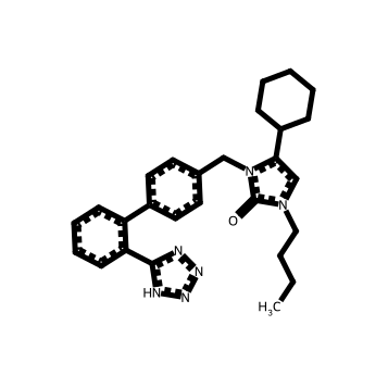 CCCCn1cc(C2CCCCC2)n(Cc2ccc(-c3ccccc3-c3nnn[nH]3)cc2)c1=O